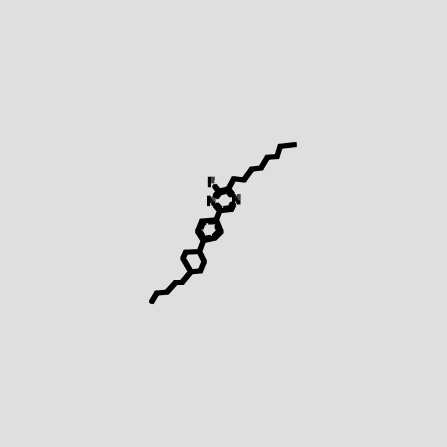 CCCCCCCCc1ncc(-c2ccc(C3CCC(CCCCC)CC3)cc2)nc1F